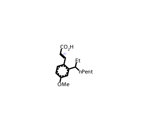 CCCCCC(CC)c1cc(OC)ccc1/C=C/C(=O)O